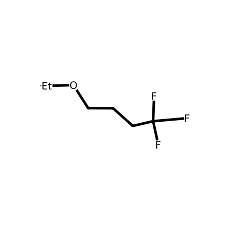 C[CH]OCCCC(F)(F)F